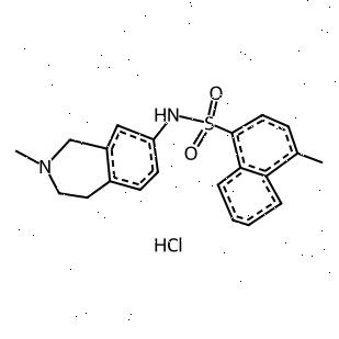 Cc1ccc(S(=O)(=O)Nc2ccc3c(c2)CN(C)CC3)c2ccccc12.Cl